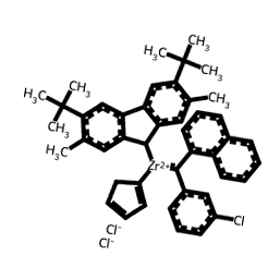 Cc1cc2c(cc1C(C)(C)C)-c1cc(C(C)(C)C)c(C)cc1[CH]2/[Zr+2]([C]1=CC=CC1)=[C](/c1cccc(Cl)c1)c1cccc2ccccc12.[Cl-].[Cl-]